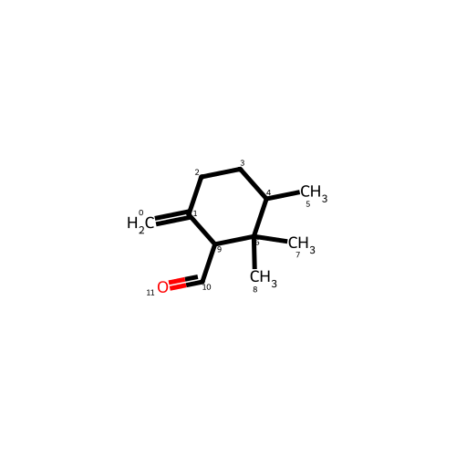 C=C1CCC(C)C(C)(C)C1C=O